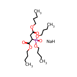 CCCCOC(=O)CC(C(=O)OCCCC)P(=O)(OCCCC)OCCCC.[NaH]